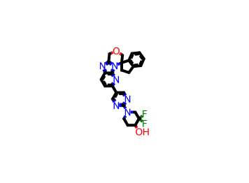 OC1CCN(c2ncc(-c3ccc4nc5n(c4n3)C3(CCc4ccccc43)COC5)cn2)CC1(F)F